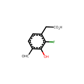 O=Cc1ccc(CC(=O)O)c(F)c1O